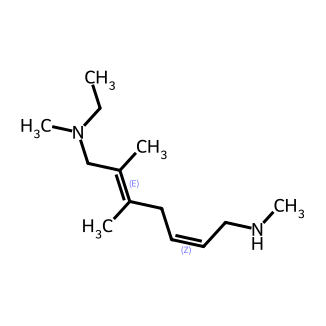 CCN(C)C/C(C)=C(\C)C/C=C\CNC